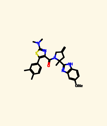 C=C1CN(C(=O)c2nc(N(C)C)sc2-c2ccc(C)c(C)c2)C(C)(c2nc3cc(OC)ccc3[nH]2)C1